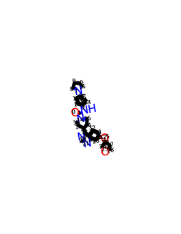 O=C(Nc1ccc(N2CCCC2)cc1)N1CCC(c2ncnc3cc(O[C@H]4CCOC4)ccc23)CC1